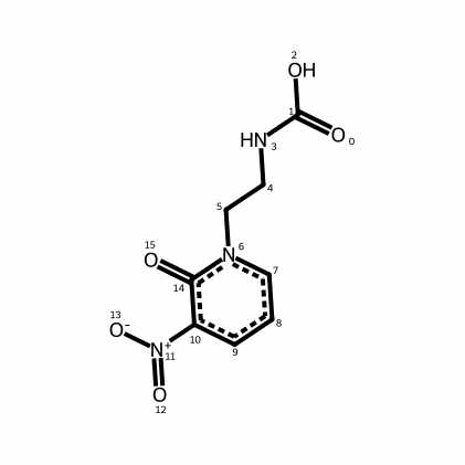 O=C(O)NCCn1cccc([N+](=O)[O-])c1=O